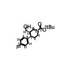 CC(C)(C)OC(=O)N1CC[C@@H](c2ccc(F)cc2)[C@@H](CO)C1